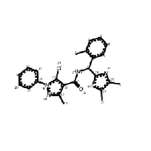 Cc1ccccc1C(NC(=O)c1c(C)nn(-c2ccccc2)c1Cl)c1nc(C)c(C)s1